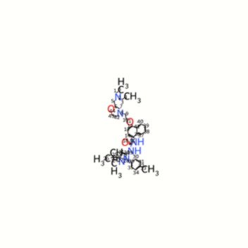 CCN(CC)CC1CN(CCOc2ccc(NC(=O)Nc3cc(C(C)(C)C)nn3-c3ccc(C)cc3)c3ccccc23)CCO1